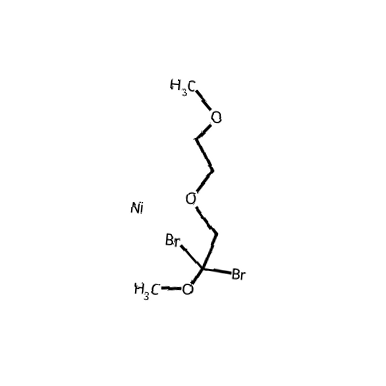 COCCOCC(Br)(Br)OC.[Ni]